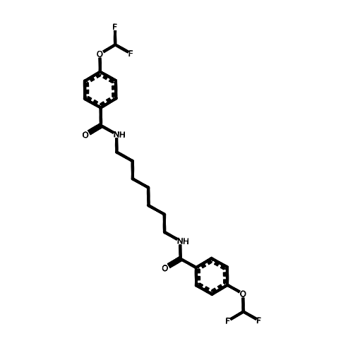 O=C(NCCCCCCCNC(=O)c1ccc(OC(F)F)cc1)c1ccc(OC(F)F)cc1